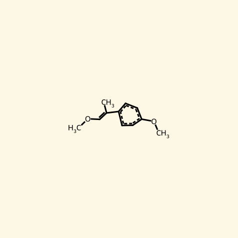 COC=C(C)c1ccc(OC)cc1